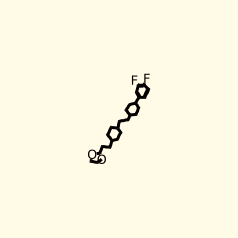 Fc1ccc(C2CCC(CCC3CCC(CCC4OCCO4)CC3)CC2)cc1F